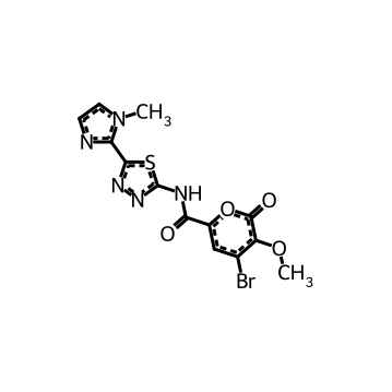 COc1c(Br)cc(C(=O)Nc2nnc(-c3nccn3C)s2)oc1=O